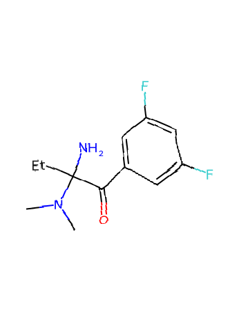 CCC(N)(C(=O)c1cc(F)cc(F)c1)N(C)C